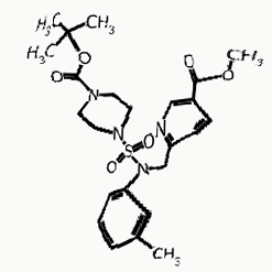 COC(=O)c1ccc(CN(c2cccc(C)c2)S(=O)(=O)N2CCN(C(=O)OC(C)(C)C)CC2)nc1